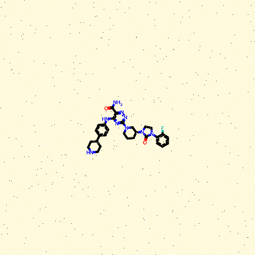 NC(=O)c1nnc(N2CCCC(N3CCN(c4ccccc4F)C3=O)C2)nc1Nc1ccc(C2CCNCC2)cc1